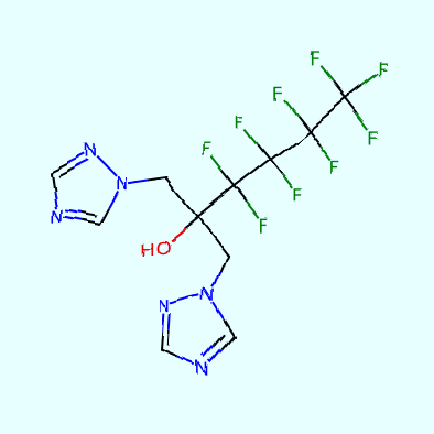 OC(Cn1cncn1)(Cn1cncn1)C(F)(F)C(F)(F)C(F)(F)C(F)(F)F